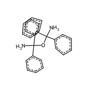 NC(OC(N)(c1ccccc1)c1ccccc1)(c1ccccc1)c1ccccc1